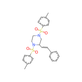 Cc1ccc(S(=O)(=O)N2CCN(S(=O)(=O)c3ccc(C)cc3)C(C=Cc3ccccc3)C2)cc1